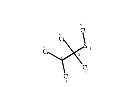 ClSC(Cl)(Cl)C(Cl)Cl